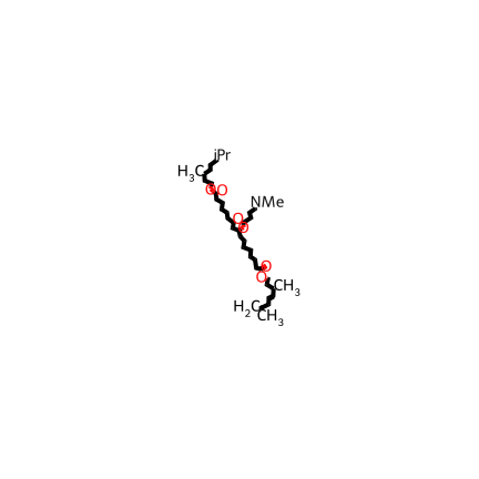 C=C(C)C/C=C/C(C)CCOC(=O)CCCCCCCC(CCCCCCCC(=O)OCCC(C)CCCC(C)C)OC(=O)CCCNC